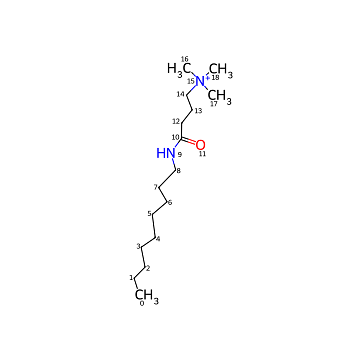 CCCCCCCCCNC(=O)CCC[N+](C)(C)C